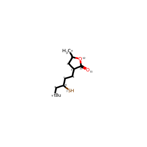 CC1CC(CCC(S)CC(C)(C)C)C(=O)O1